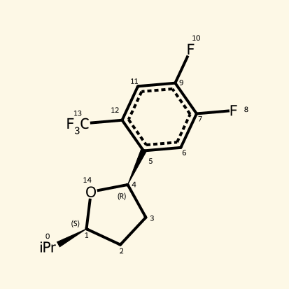 CC(C)[C@@H]1CC[C@H](c2cc(F)c(F)cc2C(F)(F)F)O1